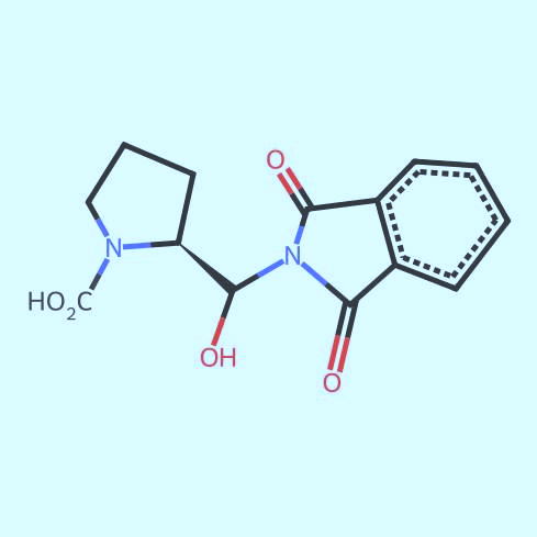 O=C1c2ccccc2C(=O)N1C(O)[C@@H]1CCCN1C(=O)O